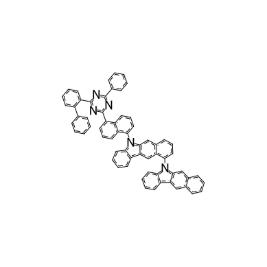 c1ccc(-c2nc(-c3ccccc3-c3ccccc3)nc(-c3cccc4c(-n5c6ccccc6c6cc7c(-n8c9ccccc9c9cc%10ccccc%10cc98)cccc7cc65)cccc34)n2)cc1